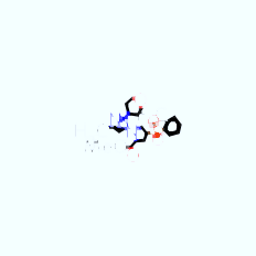 COC(=O)C1CC(S(=O)(=O)c2ccccc2C(F)(F)F)CN1c1cc(C)nn1C1CCOCC1